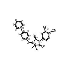 CC1(C)C(=O)N(c2ccc(C#N)c(C(F)(F)F)c2)C(=O)N1Cc1ccc(-c2cccnc2)cc1